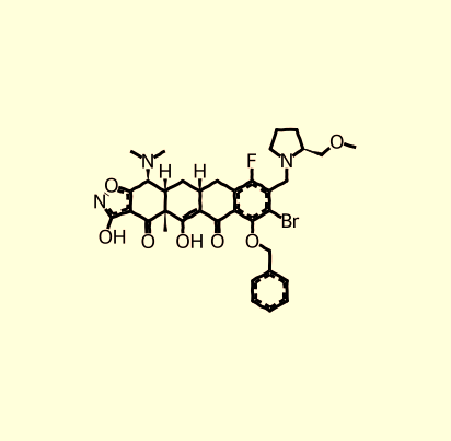 COC[C@@H]1CCCN1Cc1c(F)c2c(c(OCc3ccccc3)c1Br)C(=O)C1=C(O)[C@]3(C)C(=O)c4c(O)noc4[C@@H](N(C)C)[C@@H]3C[C@@H]1C2